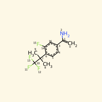 C=C(N)c1ccc(C(C)(C)C(F)(F)F)c(F)c1